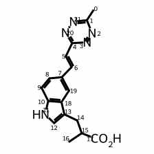 Cc1nnc(/C=C/c2ccc3[nH]cc(CC(C)C(=O)O)c3c2)nn1